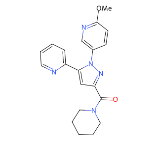 COc1ccc(-n2nc(C(=O)N3CCCCC3)cc2-c2ccccn2)cn1